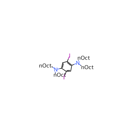 CCCCCCCCN(CCCCCCCC)c1cc(I)c(N(CCCCCCCC)CCCCCCCC)cc1I